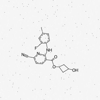 Cc1ccc(Nc2nc(C#N)ccc2C(=O)OC2CC(O)C2)c(F)c1